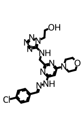 OCCn1nnnc1NCc1nc(N/N=C/c2ccc(Cl)cc2)cc(N2CCOCC2)n1